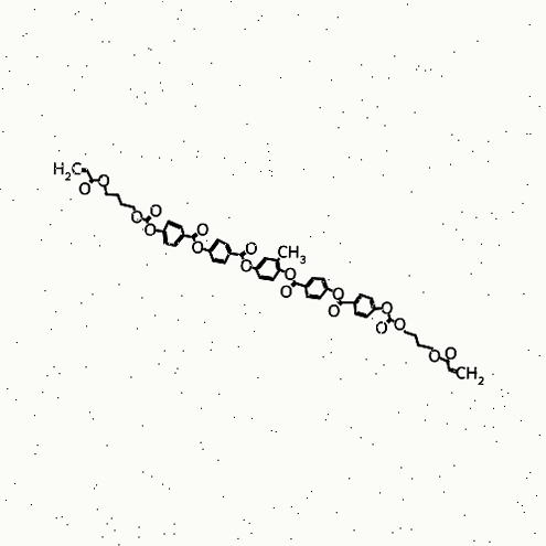 C=CC(=O)OCCCCOC(=O)Oc1ccc(C(=O)Oc2ccc(C(=O)Oc3ccc(OC(=O)c4ccc(OC(=O)c5ccc(OC(=O)OCCCCOC(=O)C=C)cc5)cc4)c(C)c3)cc2)cc1